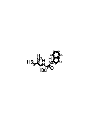 CC[C@H](C)[C@@H](NCC(N)CS)C(=O)NC1CCc2ccccc21